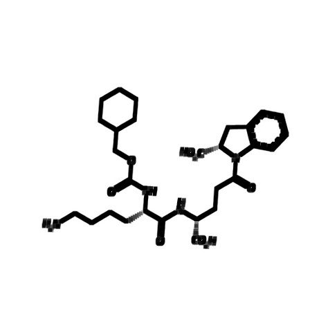 NCCCC[C@H](NC(=O)OCC1CCCCC1)C(=O)N[C@H](CCC(=O)N1c2ccccc2C[C@H]1C(=O)O)C(=O)O